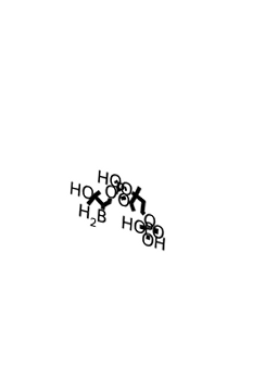 BC(COP(=O)(O)OC(C)(CC)CCOP(=O)(O)O)C(C)(C)O